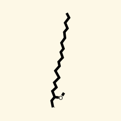 [CH2]CC(CCCCCCCCCCCCCCCCC)OC